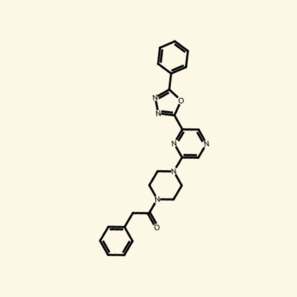 O=C(Cc1ccccc1)N1CCN(c2cncc(-c3nnc(-c4ccccc4)o3)n2)CC1